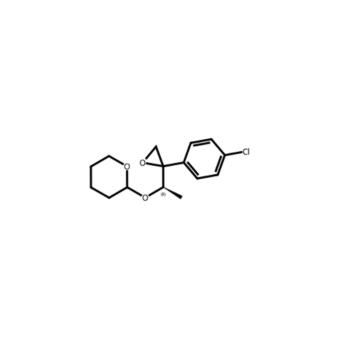 C[C@@H](OC1CCCCO1)C1(c2ccc(Cl)cc2)CO1